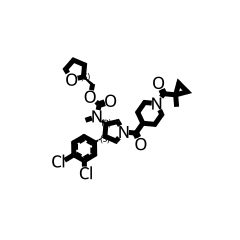 CN(C(=O)OC[C@@H]1CCCO1)[C@H]1CN(C(=O)C2CCN(C(=O)C3(C)CC3)CC2)C[C@@H]1c1ccc(Cl)c(Cl)c1